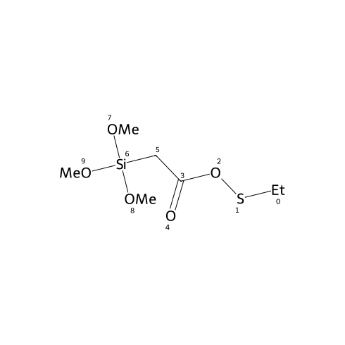 CCSOC(=O)C[Si](OC)(OC)OC